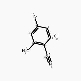 Cc1cc(Br)ccc1[N+]#N.[Cl-]